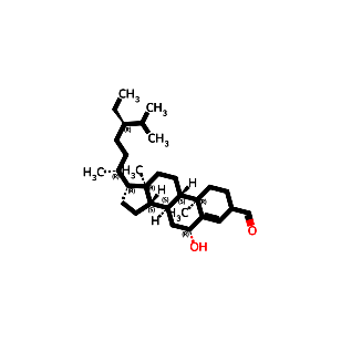 CC[C@H](CC[C@@H](C)[C@H]1CC[C@H]2[C@@H]3C[C@@H](O)C4=CC(C=O)CC[C@]4(C)[C@H]3CC[C@]12C)C(C)C